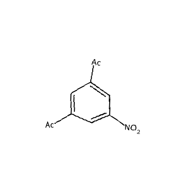 CC(=O)c1cc(C(C)=O)cc([N+](=O)[O-])c1